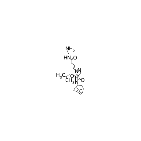 CC(C)COc1c(C(=O)NC2CCC3CC4CC2C4C3)cnn1/C=C/CC(=O)NCCN